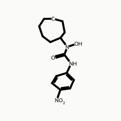 O=C(Nc1ccc([N+](=O)[O-])cc1)N(O)C1CCCCCCC1